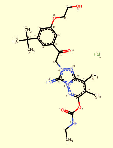 CCNC(=O)Oc1nn2c(=N)n(CC(=O)c3cc(OCCO)cc(C(C)(C)C)c3)nc2c(C)c1C.Cl